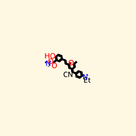 [C-]#[N+]/C(=C1/C=C(C)OC(/C=C/c2ccc(O)c(C(=O)ON(C)C)c2)=C1)c1ccc(N(C)CC)cc1